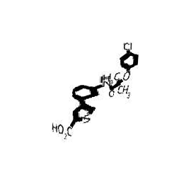 CC(C)(Oc1ccc(Cl)cc1)C(=O)Nc1cccc(-c2csc(C(=O)O)c2)c1